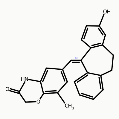 Cc1cc(/C=C2\c3ccccc3CCc3cc(O)ccc32)cc2c1OCC(=O)N2